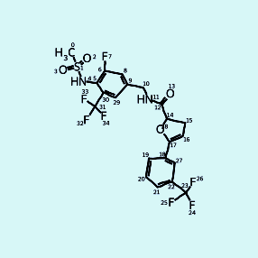 CS(=O)(=O)Nc1c(F)cc(CNC(=O)C2CC=C(c3cccc(C(F)(F)F)c3)O2)cc1C(F)(F)F